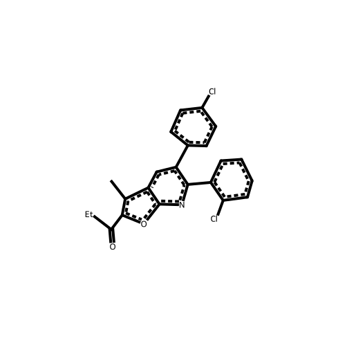 CCC(=O)c1oc2nc(-c3ccccc3Cl)c(-c3ccc(Cl)cc3)cc2c1C